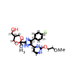 COCCOc1nccc(-c2[nH]c(C3(C)OCC(CO)CO3)nc2-c2ccc(F)cc2)n1